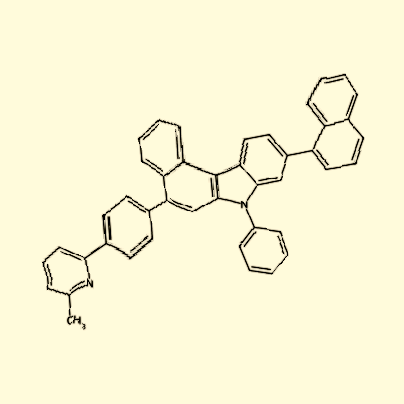 Cc1cccc(-c2ccc(-c3cc4c(c5ccccc35)c3ccc(-c5cccc6ccccc56)cc3n4-c3ccccc3)cc2)n1